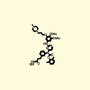 CCC(C)NC(=O)CCc1cccc(N(C(=O)Oc2c(C)cccc2C)c2ccnc(Nc3cc(OC)c(OC)c(OCCCN4CCN(C)CC4)c3)n2)c1